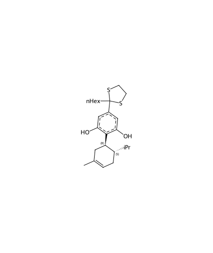 CCCCCCC1(c2cc(O)c([C@@H]3CC(C)=CC[C@H]3C(C)C)c(O)c2)SCCS1